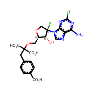 Nc1nc(Cl)nc2c1ncn2[C@@]1(F)CO[C@H](COC(Cc2ccc(C(=O)O)cc2)(C(=O)O)C(=O)O)[C@H]1O